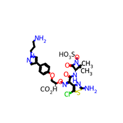 CC1(C)[C@H](NC(=O)/C(=N\O[C@@H](COc2ccc(-c3cnn(CCCN)c3)cc2)C(=O)O)c2nc(N)sc2Cl)C(=O)N1OS(=O)(=O)O